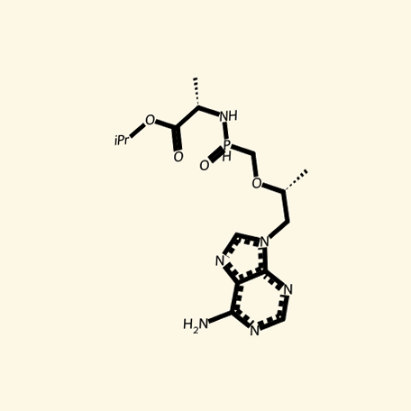 CC(C)OC(=O)[C@H](C)N[PH](=O)CO[C@H](C)Cn1cnc2c(N)ncnc21